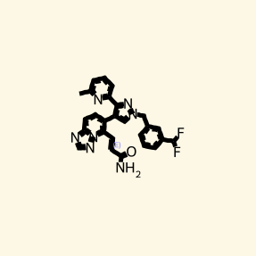 Cc1cccc(-c2nn(Cc3cccc(C(F)F)c3)cc2-c2ccc3ncnn3c2/C=C/C(N)=O)n1